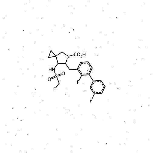 O=C(O)N1CC2(CC2)C(NS(=O)(=O)CF)C1Cc1cccc(-c2cccc(F)c2)c1F